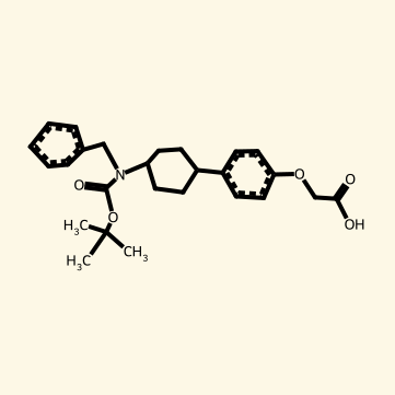 CC(C)(C)OC(=O)N(Cc1ccccc1)C1CCC(c2ccc(OCC(=O)O)cc2)CC1